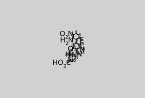 Nc1c([N+](=O)[O-])ccc(F)c1-c1cc2c3c(ncnc3c1F)N1CCN(C(=O)O)C[C@H]1CO2